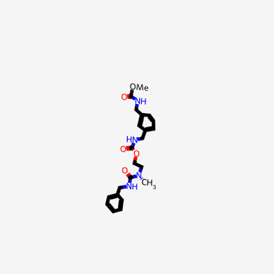 COC(=O)NCc1cccc(CNC(=O)OCCN(C)C(=O)NCc2ccccc2)c1